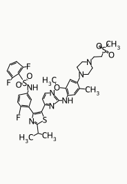 COc1cc(N2CCN(CCS(C)(=O)=O)CC2)c(C)cc1Nc1nccc(-c2sc(C(C)C)nc2-c2cc(NS(=O)(=O)c3c(F)cccc3F)ccc2F)n1